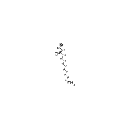 CCCCCCCCCCCC(Cl)CCBr